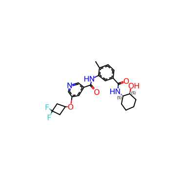 Cc1ccc(C(=O)N[C@H]2CCCC[C@@H]2O)cc1NC(=O)c1cncc(OC2CC(F)(F)C2)c1